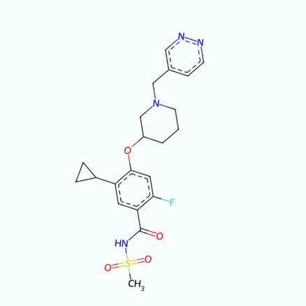 CS(=O)(=O)NC(=O)c1cc(C2CC2)c(OC2CCCN(Cc3ccnnc3)C2)cc1F